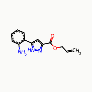 C=CCOC(=O)c1cc(-c2ccccc2N)[nH]n1